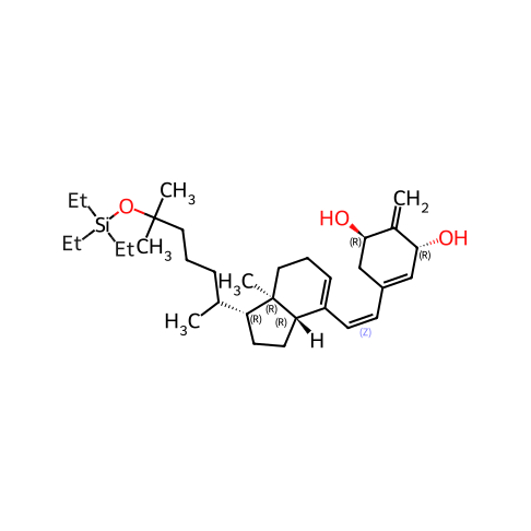 C=C1[C@H](O)C=C(/C=C\C2=CCC[C@]3(C)[C@@H](C(C)CCCC(C)(C)O[Si](CC)(CC)CC)CC[C@@H]23)C[C@H]1O